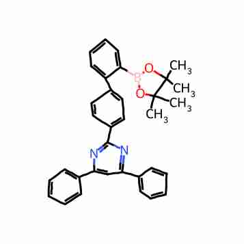 CC1(C)OB(c2ccccc2-c2ccc(-c3nc(-c4ccccc4)cc(-c4ccccc4)n3)cc2)OC1(C)C